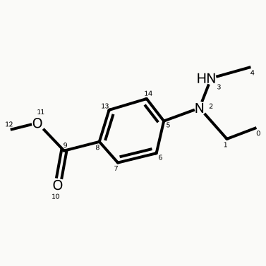 CCN(NC)c1ccc(C(=O)OC)cc1